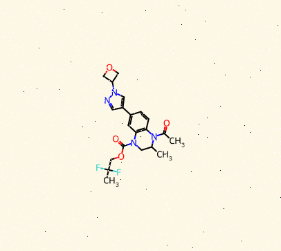 CC(=O)N1c2ccc(-c3cnn(C4COC4)c3)cc2N(C(=O)OCC(C)(F)F)CC1C